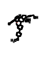 COc1ccc(-c2ccc3c(c2)C[C@]24CCC(=O)C=C2CCC2=C4C3C[C@@]3(C)[C@H]2CC[C@@]3(O)C#CCO)cc1